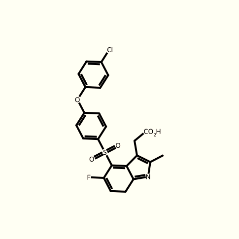 CC1=C(CC(=O)O)C2=C(S(=O)(=O)c3ccc(Oc4ccc(Cl)cc4)cc3)C(F)=CCC2=N1